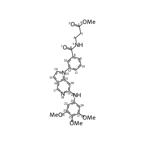 COC(=O)CCNC(=O)c1cccc(-n2ccc3cnc(Nc4cc(OC)c(OC)c(OC)c4)cc32)c1